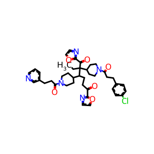 CCC(C(=O)c1ncco1)(C1CCN(C(=O)CCc2ccc(Cl)cc2)CC1)C(CCC(=O)c1ncco1)C1CCN(C(=O)CCc2cccnc2)CC1